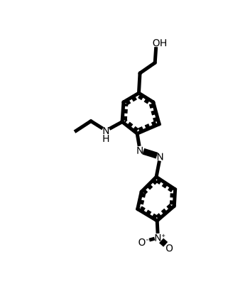 CCNc1cc(CCO)ccc1N=Nc1ccc([N+](=O)[O-])cc1